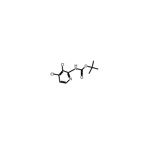 CC(C)(C)OC(=O)Nc1nccc(Cl)c1Cl